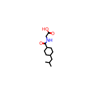 CC(C)CC1CCC(C(=O)NCC(=O)O)CC1